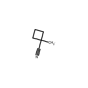 [CH2]C1(C#N)CCC1